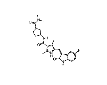 Cc1[nH]c(C=C2C(=O)Nc3ccc(F)cc32)c(C)c1C(=O)NC1CCN(C(=O)N(C)C)C1